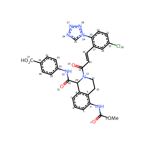 COC(=O)Nc1cccc2c1CCN(C(=O)C=Cc1cc(Cl)ccc1-n1cnnn1)C2C(=O)Nc1ccc(C(=O)O)cc1